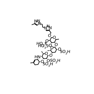 CC1=C[C@H](N[C@H]2C[C@@H](OS(=O)(=O)O)[C@@H](O[C@H]3C[C@@H](OS(=O)(=O)O)[C@@H](O[C@@H]4C(C)O[C@@H](OCc5cn(CCn6cc(C)nn6)nn5)[C@H](OS(=O)(=O)O)[C@H]4OS(=O)(=O)O)O[C@@H]3C)O[C@@H]2C)[C@H](OS(=O)(=O)O)CC1